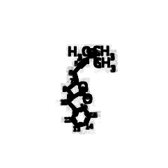 C[Si](C)(C)C#CC=C1CC(Cc2ccccc2)C(=O)O1